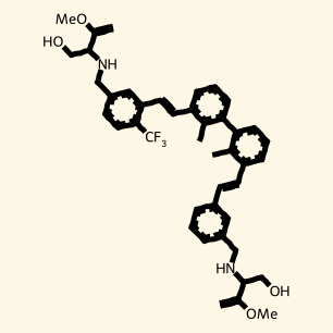 C=C(OC)C(CO)NCc1cccc(/C=C/c2cccc(-c3cccc(/C=C/c4cc(CNC(CO)C(=C)OC)ccc4C(F)(F)F)c3C)c2C)c1